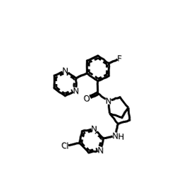 O=C(c1cc(F)ccc1-c1ncccn1)N1CC2CC(Nc3ncc(Cl)cn3)C1C2